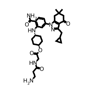 CC1(C)CC(=O)c2c(CC3CC3)nn(-c3ccc(C(N)=O)c(N[C@H]4CC[C@H](OC(=O)CNC(=O)CCN)CC4)c3)c2C1